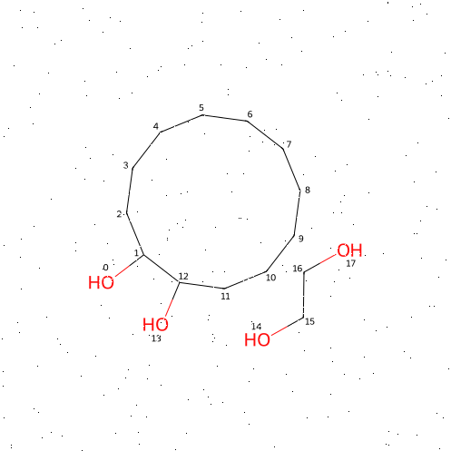 OC1CCCCCCCCCCC1O.OCCO